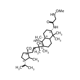 C=C(C)[C@@H]1CC[C@@](CCC(C)(C)[C@]2(C)CCC3C(C)(C)[C@@H](NC(=O)CNOC)CC[C@]3(C)C2CCC)(C(=O)O)C1C